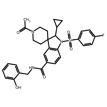 CC(=O)N1CCC2(CC1)c1cc(C(=O)NCc3ccccc3O)ccc1N(S(=O)(=O)c1ccc(F)cc1)C2C1CC1